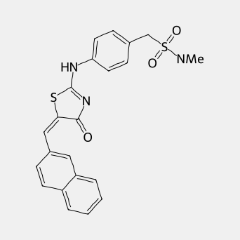 CNS(=O)(=O)Cc1ccc(NC2=NC(=O)C(=Cc3ccc4ccccc4c3)S2)cc1